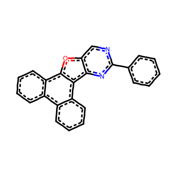 c1ccc(-c2ncc3oc4c5ccccc5c5ccccc5c4c3n2)cc1